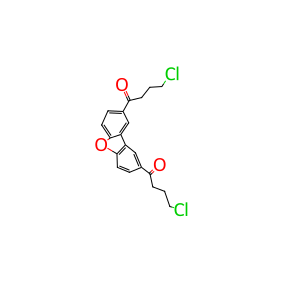 O=C(CCCCl)c1ccc2oc3ccc(C(=O)CCCCl)cc3c2c1